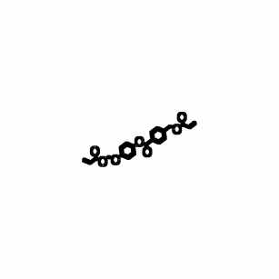 C=CC(=O)OCOc1ccc(OC(=O)c2ccc(COC(=O)C=C)cc2)cc1